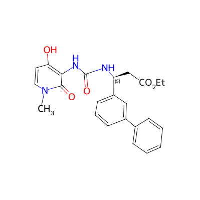 CCOC(=O)C[C@H](NC(=O)Nc1c(O)ccn(C)c1=O)c1cccc(-c2ccccc2)c1